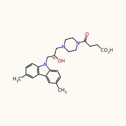 Cc1ccc2c(c1)c1cc(C)ccc1n2C[C@H](O)CN1CCN(C(=O)CCC(=O)O)CC1